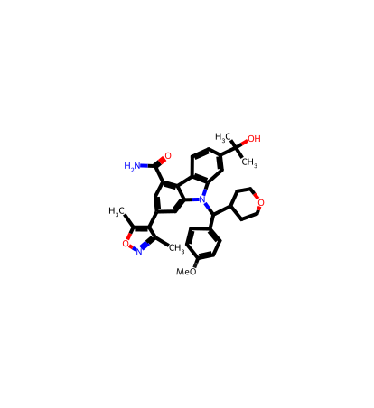 COc1ccc(C(C2CCOCC2)n2c3cc(C(C)(C)O)ccc3c3c(C(N)=O)cc(-c4c(C)noc4C)cc32)cc1